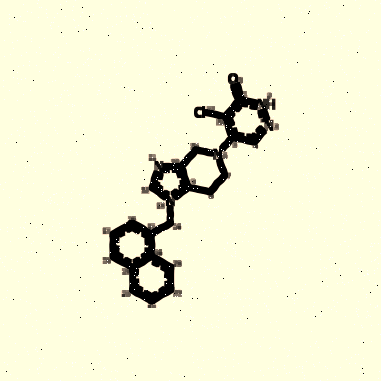 O=c1[nH]ncc(N2CCc3c(ncn3Cc3cccc4ccccc34)C2)c1Cl